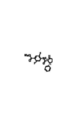 COC(=O)c1cc(F)c(NC(=O)[C@H]2NCC[C@@H]2c2ccccc2)cc1F